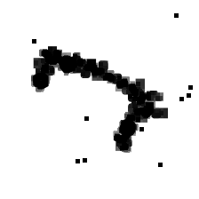 Cc1ncc(-c2ccc3nc(NC(=O)CCC(=O)NCCOCCOCC(=O)N[C@H](C(=O)N4C[C@H](O)C[C@H]4C(=O)NCc4ccc(-c5scnc5C)cc4)C(C)(C)C)sc3c2)cc1NC(=O)OC1CCCCC1